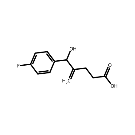 C=C(CCC(=O)O)C(O)c1ccc(F)cc1